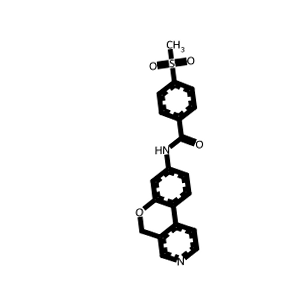 CS(=O)(=O)c1ccc(C(=O)Nc2ccc3c(c2)OCc2cnccc2-3)cc1